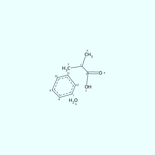 CC(C)C(=O)O.O.c1ccccc1